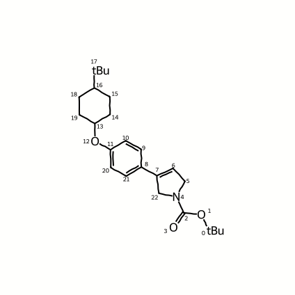 CC(C)(C)OC(=O)N1CC=C(c2ccc(OC3CCC(C(C)(C)C)CC3)cc2)C1